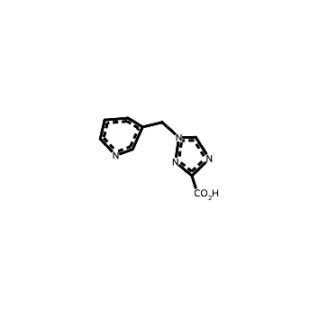 O=C(O)c1ncn(Cc2cccnc2)n1